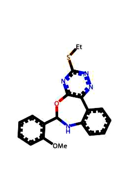 CCSc1nnc2c(n1)OC(c1ccccc1OC)Nc1ccccc1-2